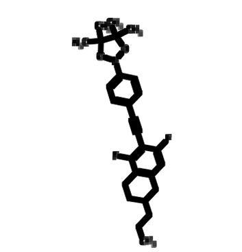 CCCC1CCc2c(cc(F)c(C#Cc3ccc(B4OC(C)(C)C(C)(C)O4)cc3)c2F)C1